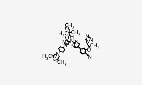 COCC(C)(C)COc1nn(C2CCC(N3C[C@@H](C)O[C@@H](C)C3)CC2)cc1Nc1ncc(-c2ccc(C#N)c(O[C@@H](C)Cn3cncn3)c2)cn1